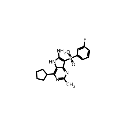 Cc1nc(C2CCCC2)c2[nH]c(N)c(S(=O)(=O)c3cccc(F)c3)c2n1